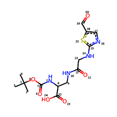 CC(C)(C)OC(=O)NC(CNC(=O)CNc1ncc(C=O)s1)C(=O)O